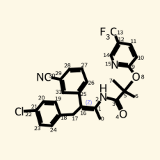 C/C(NC(=O)C(C)(C)Oc1ccc(C(F)(F)F)cn1)=C(\Cc1ccc(Cl)cc1)c1cccc(C#N)c1